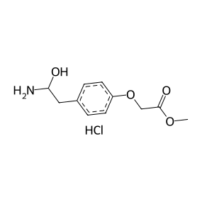 COC(=O)COc1ccc(CC(N)O)cc1.Cl